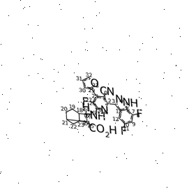 N#Cc1c(-c2n[nH]c3c(F)cc(F)cc23)nc(N[C@H]2C3CCC4CC3[C@@]42C(=O)O)c(F)c1-c1ccco1